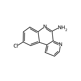 Nc1nc2ccc(Cl)cc2c2cccnc12